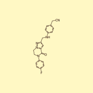 N#CCc1ccc(NCc2cc3n(n2)CCN(c2ccc(F)cc2)C3=O)cc1